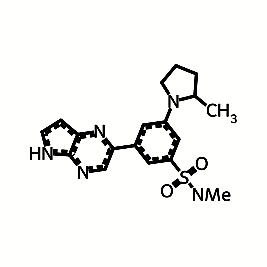 CNS(=O)(=O)c1cc(-c2cnc3[nH]ccc3n2)cc(N2CCCC2C)c1